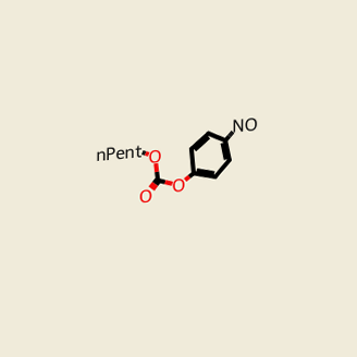 CCCCCOC(=O)Oc1ccc(N=O)cc1